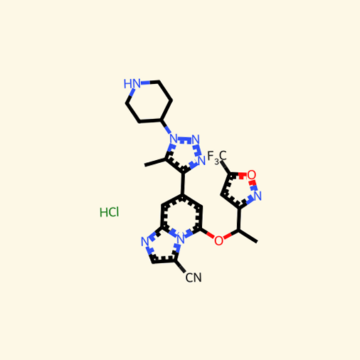 Cc1c(-c2cc(OC(C)c3cc(C(F)(F)F)on3)n3c(C#N)cnc3c2)nnn1C1CCNCC1.Cl